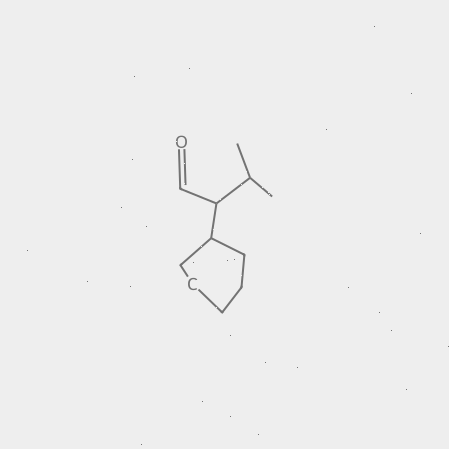 CC(C)C(C=O)C1CCCCC1